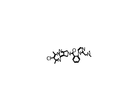 Cc1nc2c3c(nn2c(C)c1Cl)CN(C(=O)c1ccccc1-n1ccnc1CN(C)C)C3